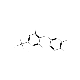 CC(C)(C)c1cc(F)c(Oc2ccc(Cl)c(F)c2)c(F)c1